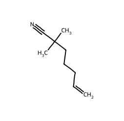 C=CCCCC(C)(C)C#N